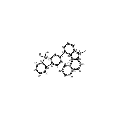 Cn1c2cccc(-c3ccc4c(c3)[Si](C)(C)c3ccccc3-4)c2c2c3ccccc3ccc21